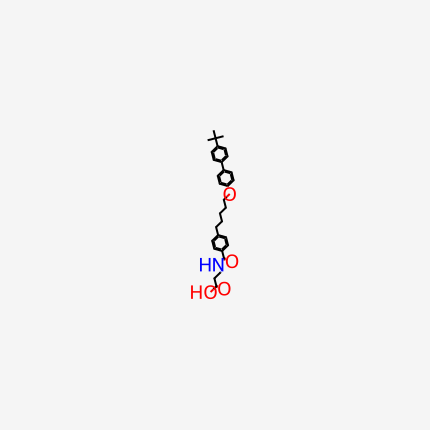 CC(C)(C)c1ccc(-c2ccc(OCCCCCc3ccc(C(=O)NCCC(=O)O)cc3)cc2)cc1